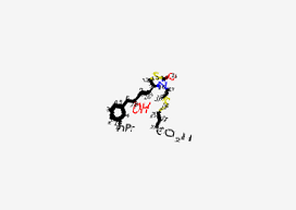 CCCc1cccc(C[C@H](O)/C=C/[C@H]2CSC(=O)N2CCSCCCC(=O)O)c1